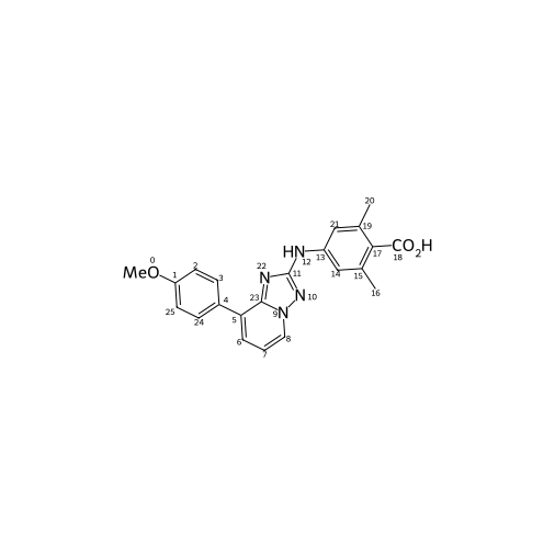 COc1ccc(-c2cccn3nc(Nc4cc(C)c(C(=O)O)c(C)c4)nc23)cc1